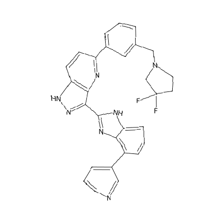 FC1(F)CCN(Cc2cccc(-c3ccc4[nH]nc(-c5nc6c(-c7cccnc7)cccc6[nH]5)c4n3)c2)C1